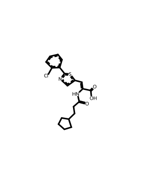 O=C(CCC1CCCC1)N/C(=C\c1cnc(-c2ccccc2Cl)s1)C(=O)O